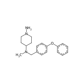 CN(Cc1ccc(Oc2ccccc2)cc1)C1CCN(N)CC1